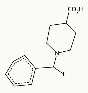 O=C(O)C1CCN(C(I)c2ccccc2)CC1